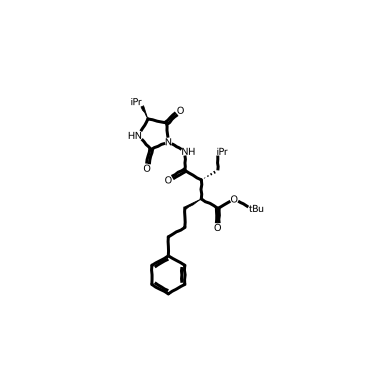 CC(C)C[C@@H](C(=O)NN1C(=O)N[C@@H](C(C)C)C1=O)[C@H](CCCc1ccccc1)C(=O)OC(C)(C)C